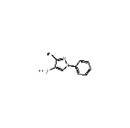 CCOC(=O)c1cn(-c2ccccc2)nc1C(C)C